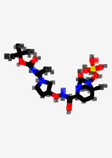 C/C(=N\C(=O)OC(C)(C)C)N1CCC(ONC(=O)[C@@H]2CC[C@@H]3CN2C(=O)N3OS(=O)(=O)O)C1